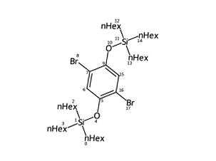 CCCCCC[Si](CCCCCC)(CCCCCC)Oc1cc(Br)c(O[Si](CCCCCC)(CCCCCC)CCCCCC)cc1Br